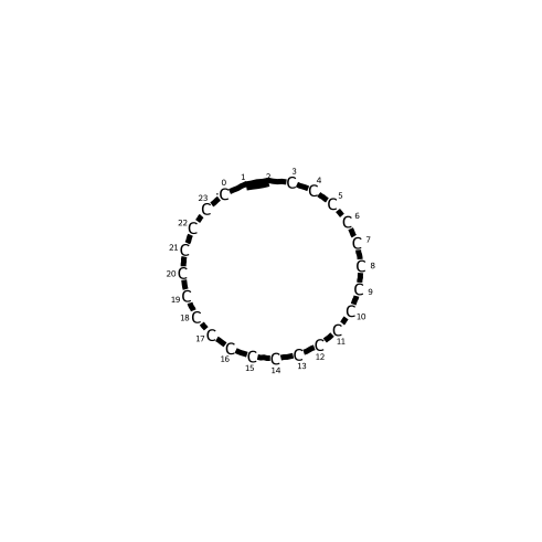 [CH]1/C=C\CCCCCCCCCCCCCCCCCCCCC1